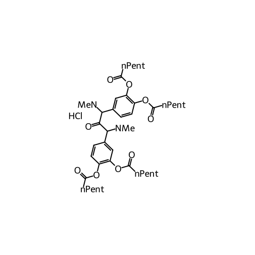 CCCCCC(=O)Oc1ccc(C(NC)C(=O)C(NC)c2ccc(OC(=O)CCCCC)c(OC(=O)CCCCC)c2)cc1OC(=O)CCCCC.Cl